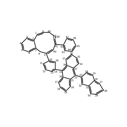 C1=C\c2ccccc2C/C(c2cccc(-c3c4ccccc4c(-c4ccc5ccccc5c4)c4ccccc34)c2)=C\C(c2ccccc2)=N/C/1